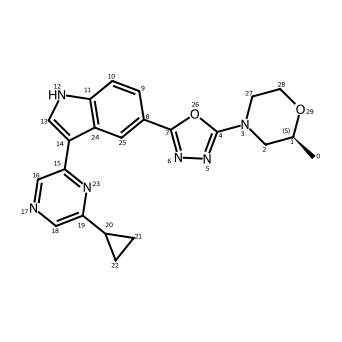 C[C@H]1CN(c2nnc(-c3ccc4[nH]cc(-c5cncc(C6CC6)n5)c4c3)o2)CCO1